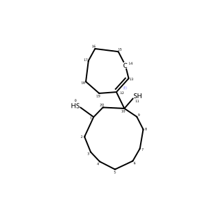 SC1CCCCCCCCC(S)(/C2=C/CCCCCC2)C1